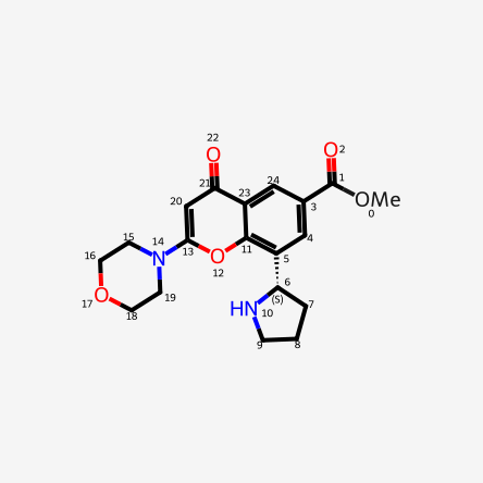 COC(=O)c1cc([C@@H]2CCCN2)c2oc(N3CCOCC3)cc(=O)c2c1